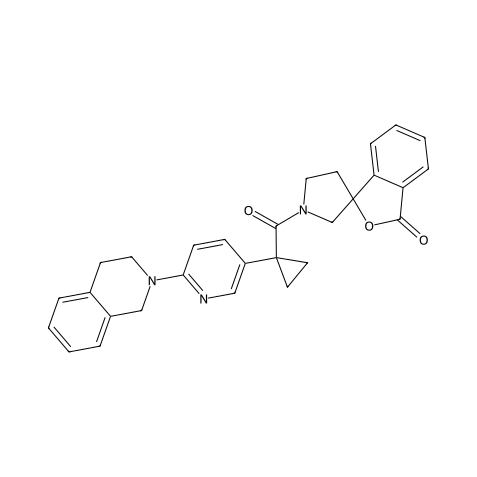 O=C1OC2(CCN(C(=O)C3(c4ccc(N5CCc6ccccc6C5)nc4)CC3)C2)c2ccccc21